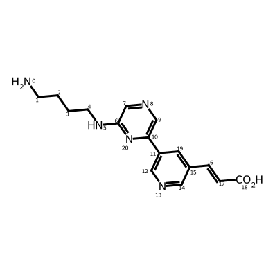 NCCCCNc1cncc(-c2cncc(C=CC(=O)O)c2)n1